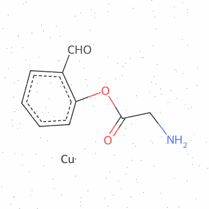 NCC(=O)Oc1ccccc1C=O.[Cu]